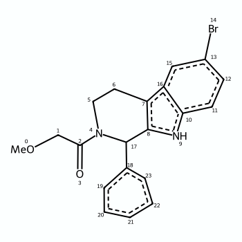 COCC(=O)N1CCc2c([nH]c3ccc(Br)cc23)C1c1ccccc1